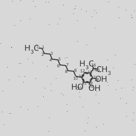 CCCCCCCCCCCc1cc(C(C)C)c(O)c(O)c1O